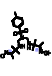 C/C(=N\O)C(C)(C)NCN(CNC(C)(C)/C(C)=N/O)S(=O)(=O)c1ccc(C)cc1